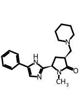 CN1C(=O)[C@H](CN2CCCCC2)C[C@@H]1c1ncc(-c2ccccc2)[nH]1